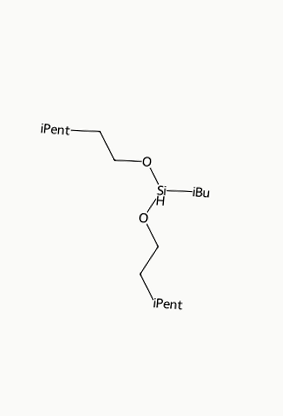 CCCC(C)CCO[SiH](OCCC(C)CCC)C(C)CC